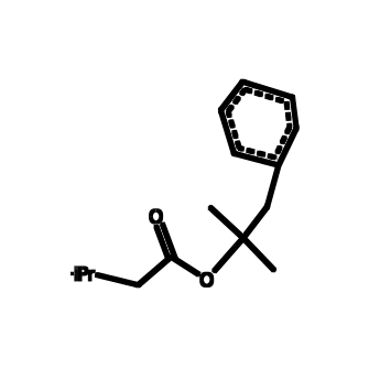 C[C](C)CC(=O)OC(C)(C)Cc1ccccc1